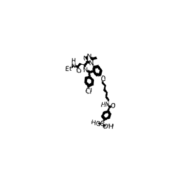 CCNC(=O)C[C@@H]1N=C(c2ccc(Cl)cc2)c2cc(OCCCCCCNC(=O)c3ccc(B(O)O)cc3)ccc2-n2c(C)nnc21